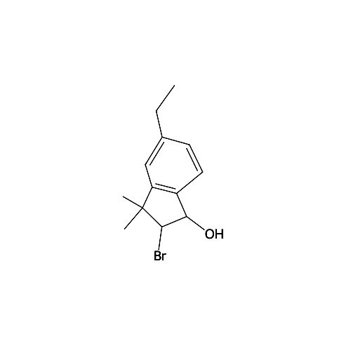 CCc1ccc2c(c1)C(C)(C)C(Br)C2O